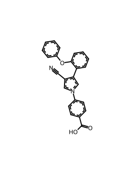 N#Cc1cn(-c2ccc(C(=O)O)cc2)cc1-c1ccccc1Oc1ccccc1